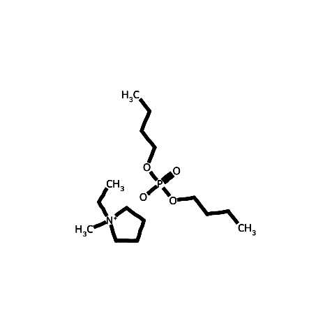 CCCCOP(=O)([O-])OCCCC.CC[N+]1(C)CCCC1